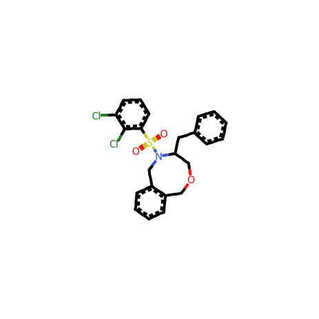 O=S(=O)(c1cccc(Cl)c1Cl)N1Cc2ccccc2COCC1Cc1ccccc1